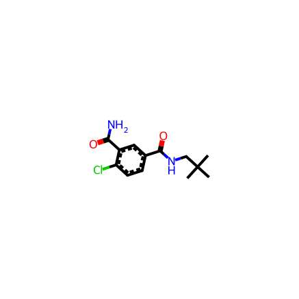 CC(C)(C)CNC(=O)c1ccc(Cl)c(C(N)=O)c1